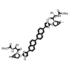 COC(=O)NC(C(=O)N1C2C(C[C@H]1c1nc(-c3ccc4cc(-c5ccc6cc(-c7c[nH]c([C@@H]8CC9C([C@@H]9C)N8C(=O)[C@@H](NC(=O)OC)C(C)C)n7)ccc6c5)ccc4c3)c[nH]1)[C@H]2C)C(C)C